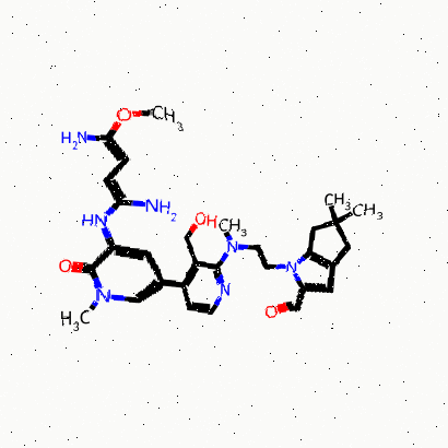 CO/C(N)=C/C=C(\N)Nc1cc(-c2ccnc(N(C)CCn3c(C=O)cc4c3CC(C)(C)C4)c2CO)cn(C)c1=O